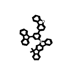 CC1(C)c2ccccc2-c2cc3c4ccccc4n(-c4cc(-c5ccc6oc7ccccc7c6c5)cc(C5c6ccccc6-c6ccccc65)c4)c3cc21